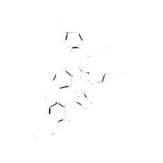 C/C=C/N(c1nnc(C2=C=C=CC(OC)=N2)n1-c1c(O)cccc1O)S(=O)(=O)C[C@H](OC)c1ccc(F)cn1